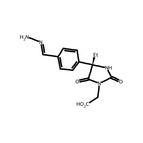 CC[C@@]1(c2ccc(C=NN)cc2)NC(=O)N(CC(=O)O)C1=O